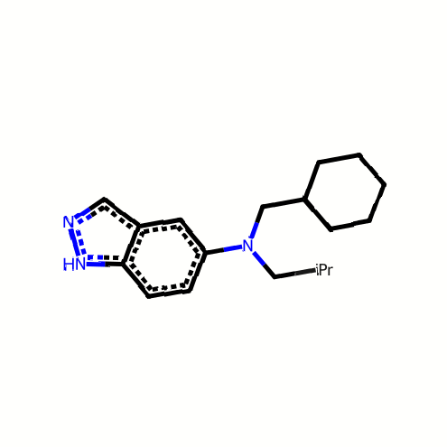 CC(C)CN(CC1CCCCC1)c1ccc2[nH]ncc2c1